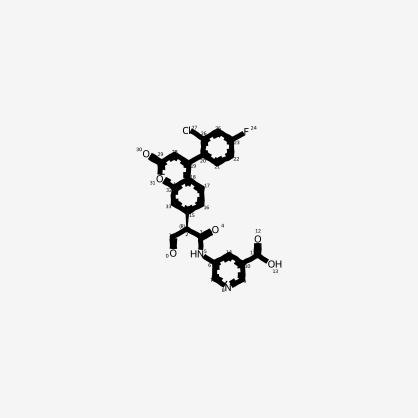 O=C[C@H](C(=O)Nc1cncc(C(=O)O)c1)c1ccc2c(-c3ccc(F)cc3Cl)cc(=O)oc2c1